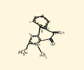 Cc1nc2c(n1C)C(=O)C(=O)c1ccccc1-2